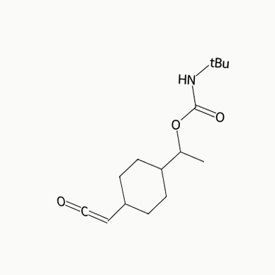 CC(OC(=O)NC(C)(C)C)C1CCC(C=C=O)CC1